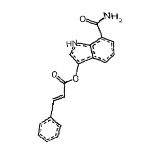 NC(=O)c1cccc2c(OC(=O)/C=C/c3ccccc3)c[nH]c12